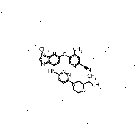 Cc1cc(C#N)ncc1Oc1cc(Nc2ccc(N3CCOC(C(C)C)C3)nn2)c2ncn(C)c2n1